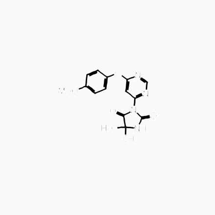 COc1ccc(Oc2cc(N3C(=O)NC(C)(C)C3=O)ncn2)cc1